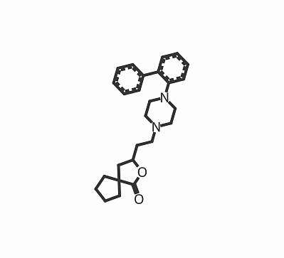 O=C1OC(CCN2CCN(c3ccccc3-c3ccccc3)CC2)CC12CCCC2